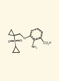 Nc1c(OCC2(S(=O)(=O)C3CC3)CC2)cccc1C(=O)O